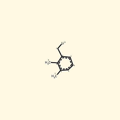 [Li][CH2]c1cccc(C)c1C